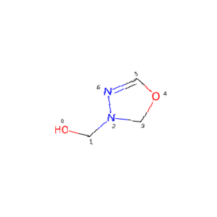 OCN1COC=N1